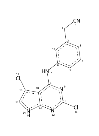 N#CCc1cccc(Nc2nc(Cl)nc3[nH]cc(Cl)c23)c1